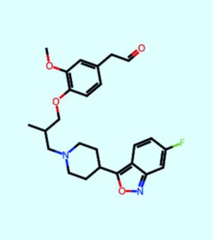 COc1cc(CC=O)ccc1OCC(C)CN1CCC(c2onc3cc(F)ccc23)CC1